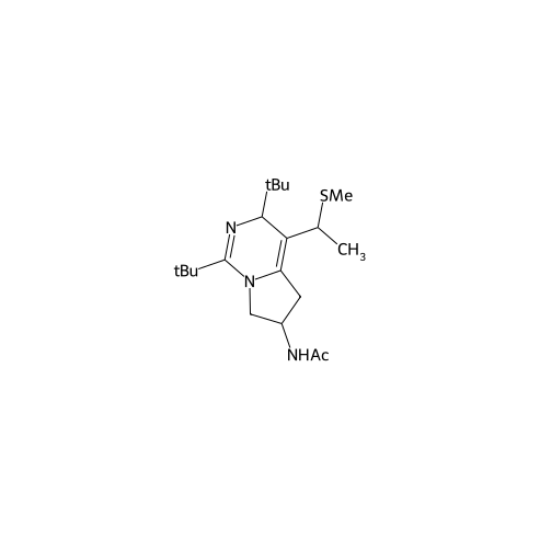 CSC(C)C1=C2CC(NC(C)=O)CN2C(C(C)(C)C)=NC1C(C)(C)C